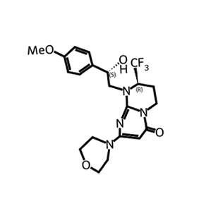 COc1ccc([C@H](O)CN2c3nc(N4CCOCC4)cc(=O)n3CC[C@@H]2C(F)(F)F)cc1